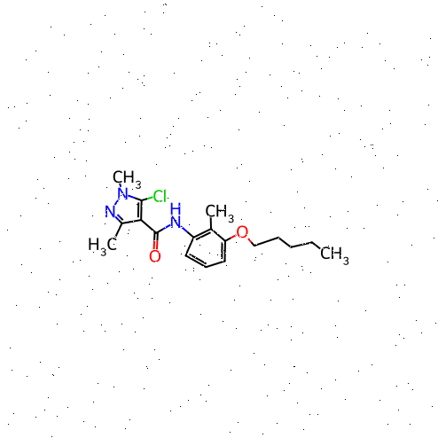 CCCCCOc1cccc(NC(=O)c2c(C)nn(C)c2Cl)c1C